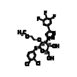 COCCO[C@@H]1[C@@H](n2cc(-c3cc(F)c(F)c(F)c3)nn2)[C@@H](O)[C@@H](CO)O[C@@H]1Sc1ccc(Cl)c(Cl)c1